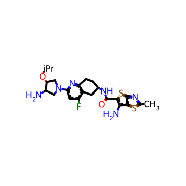 Cc1nc2sc(C(=O)NC3CCc4nc(N5CC(N)C(OC(C)C)C5)cc(F)c4C3)c(N)c2s1